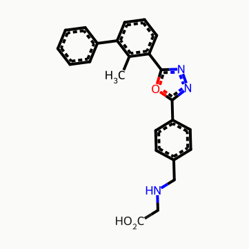 Cc1c(-c2ccccc2)cccc1-c1nnc(-c2ccc(CNCC(=O)O)cc2)o1